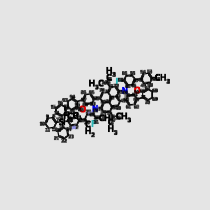 C=C(/C=C\C(=C)[Si](C1=CC=CCC1)(c1ccccc1)c1ccccc1)C(=C)/C=C(\C(=C)F)N(c1cc(C(C)C)c2ccc3c(N(c4cc(-c5ccc(C)cc5)ccc4F)c4cccc5c4oc4ccccc45)cc(C(C)C)c4ccc1c2c43)c1cccc2c1oc1ccccc12